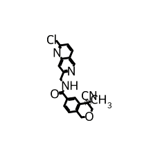 C[C@@]1(C#N)COCc2ccc(C(=O)NCc3cc4nc(Cl)ccc4cn3)cc21